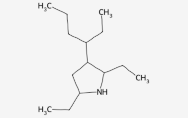 CCCC(CC)C1CC(CC)NC1CC